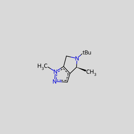 C[C@H]1c2cnn(C)c2CN1C(C)(C)C